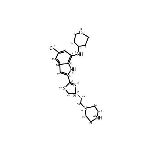 Clc1cc(NC2CCOCC2)c2[nH]c(C3=N[C@H](CCN4CCNCC4)CS3)cc2c1